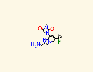 CN1C(=O)CN(c2cc(C3(F)CC3)cn3cc(CN)nc23)C1=O